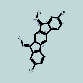 N#C/N=c1/c2cc(C(F)(F)F)ccc2c2cc3c(cc12)/c(=N/C#N)c1cc(C#N)ccc13